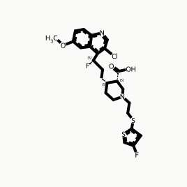 COc1ccc2ncc(Cl)c([C@@H](F)CC[C@H]3CCN(CCSc4cc(F)cs4)C[C@H]3C(=O)O)c2c1